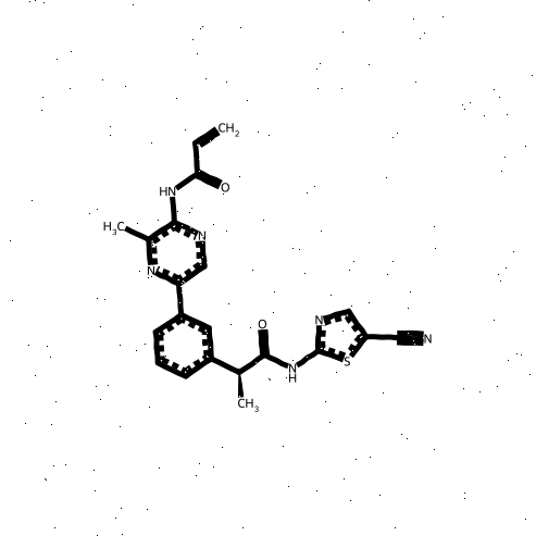 C=CC(=O)Nc1ncc(-c2cccc([C@H](C)C(=O)Nc3ncc(C#N)s3)c2)nc1C